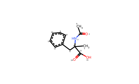 CC(=O)NC(C)(Cc1ccccc1)C(=O)O